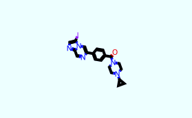 O=C(c1ccc(-c2cn3c(I)cnc3cn2)cc1)N1CCN(C2CC2)CC1